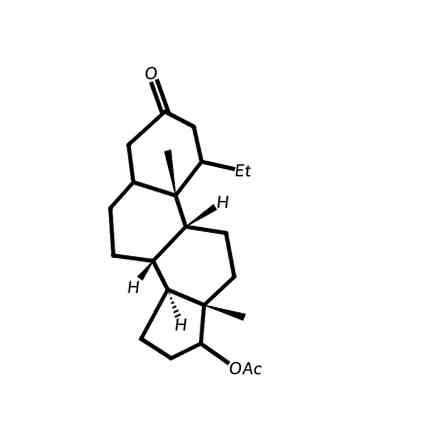 CCC1CC(=O)CC2CC[C@@H]3[C@@H](CC[C@]4(C)C(OC(C)=O)CC[C@@H]34)[C@@]12C